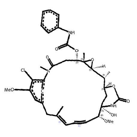 COc1cc2cc(c1Cl)N(C)C(=O)C[C@H](OC(=O)Nc1ccccc1)[C@]1(C)O[C@H]1[C@H](C)[C@@H]1C[C@@](O)(NC(=O)O1)[C@H](OC)/C=C/C=C(\C)C2